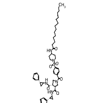 CCCCCCCCCCCCCCC(=O)NC1CCN(S(=O)(=O)c2ccc(C(=O)N3C[C@@H](C(=O)N[C@H]4C[C@@H]4c4ccccc4)[C@H](C(=O)N[C@H]4C[C@@H]4c4ccccc4)C3)cc2)CC1